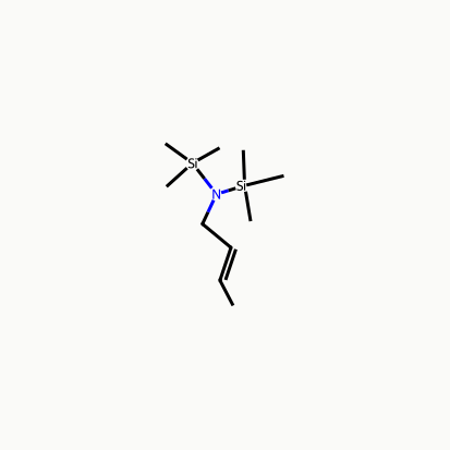 CC=CCN([Si](C)(C)C)[Si](C)(C)C